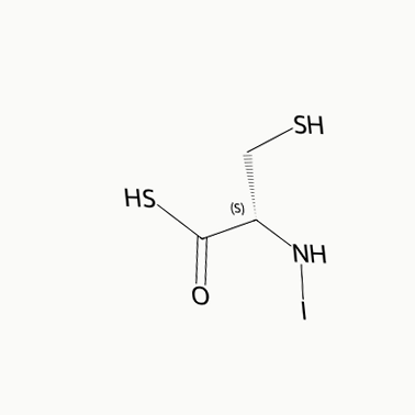 O=C(S)[C@H](CS)NI